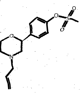 C=CCN1CCO[C@@H](c2ccc(OS(C)(=O)=O)cc2)C1